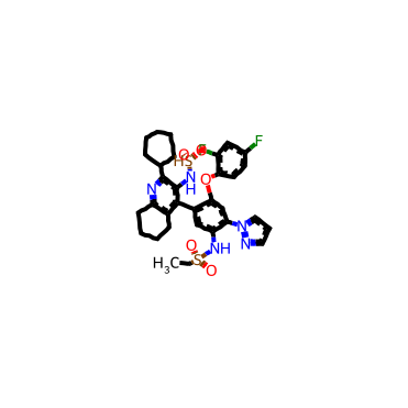 CCS(=O)(=O)Nc1cc(-c2c3c(nc(C4CCCCC4)c2N[SH](=O)=O)CCCC3)c(Oc2ccc(F)cc2F)cc1-n1cccn1